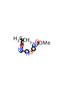 COC(=O)Cn1ncc2cc(Oc3ccc(-c4ccnn4COCC[SiH](C)C)cn3)ccc21